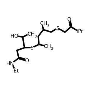 CCNC(=O)CC(SC(C)CC(C)CSCC(=O)C(C)C)C(C)O